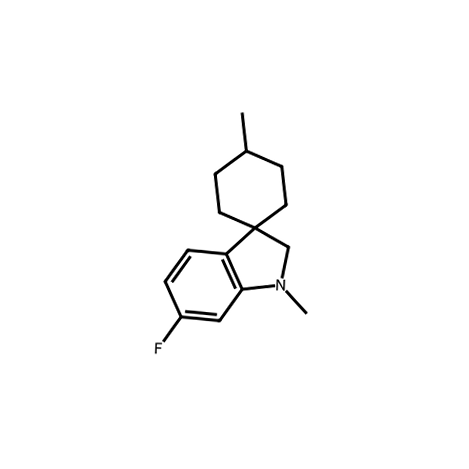 CC1CCC2(CC1)CN(C)c1cc(F)ccc12